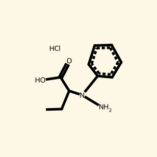 CCC(C(=O)O)N(N)c1ccccc1.Cl